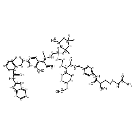 CNC(CCCNC(N)=O)C(=O)Nc1ccc(COC(=O)N(CCCC(C)(CN/C(C)=C(\C=N)c2ccc(N3CCc4cccc(C(=O)Nc5nc6ccccc6s5)c4C3)nc2C=O)CC2(C)CC(O)CC(C)(C)C2)C2CCN(CC=O)CC2)cc1